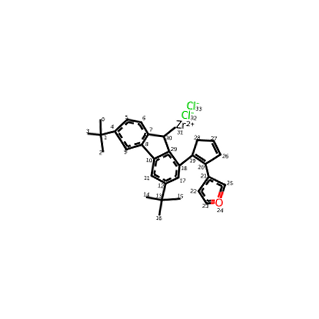 CC(C)(C)c1ccc2c(c1)-c1cc(C(C)(C)C)cc(C3=C(c4ccoc4)C=CC3)c1[CH]2[Zr+2].[Cl-].[Cl-]